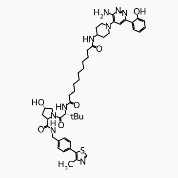 Cc1ncsc1-c1ccc(CNC(=O)[C@H]2C[C@H](O)CN2C(=O)[C@H](NC(=O)CCCCCCCCCC(=O)NC2CCN(c3cc(-c4ccccc4O)nnc3N)CC2)C(C)(C)C)cc1